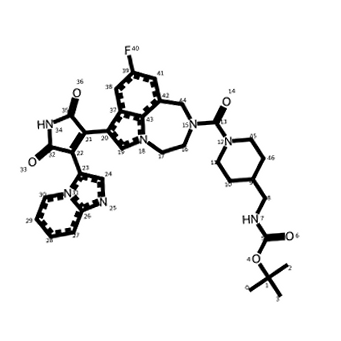 CC(C)(C)OC(=O)NCC1CCN(C(=O)N2CCn3cc(C4=C(c5cnc6ccccn56)C(=O)NC4=O)c4cc(F)cc(c43)C2)CC1